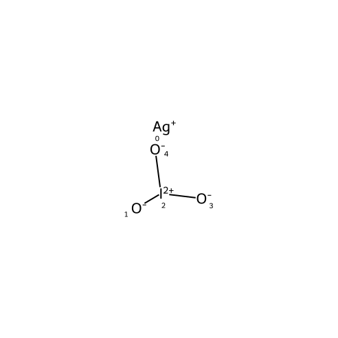 [Ag+].[O-][I+2]([O-])[O-]